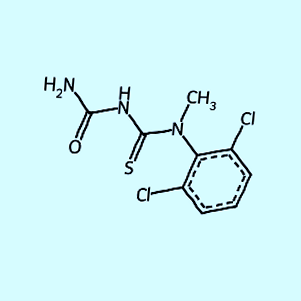 CN(C(=S)NC(N)=O)c1c(Cl)cccc1Cl